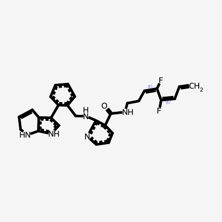 C=C/C=C(F)\C(F)=C/CCNC(=O)c1cccnc1NCc1ccccc1-c1c[nH]c2c1C=CCN2